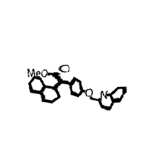 COC(=O)C(c1ccc(OCc2ccc3ccccc3n2)cc1)C1CCCC2CCCCC21